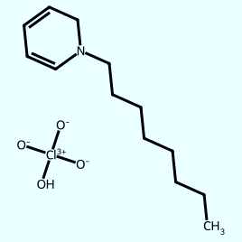 CCCCCCCCN1C=CC=CC1.[O-][Cl+3]([O-])([O-])O